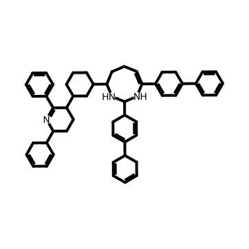 C1=CCC(C2=CCC(C3N/C(C4=CC=C(c5ccccc5)CC4)=C\CCC(C4CCCC(C5CCC(C6C=CC=CC6)N=C5c5ccccc5)C4)N3)C=C2)C=C1